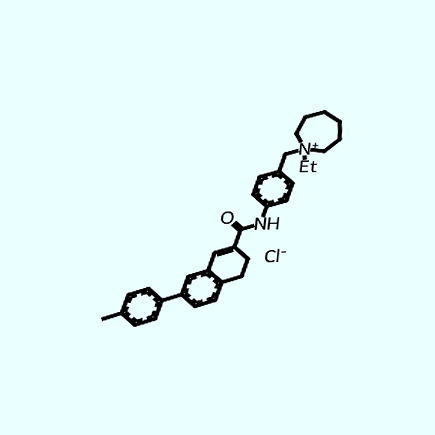 CC[N+]1(Cc2ccc(NC(=O)C3=Cc4cc(-c5ccc(C)cc5)ccc4CC3)cc2)CCCCCC1.[Cl-]